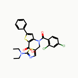 CCN(CC)c1ncc(CN(C(=O)c2ccc(Cl)cc2Cl)c2cc(-c3ccccc3)sc2C(=O)O)s1